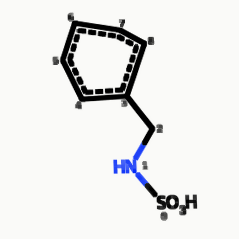 O=S(=O)(O)NCc1ccccc1